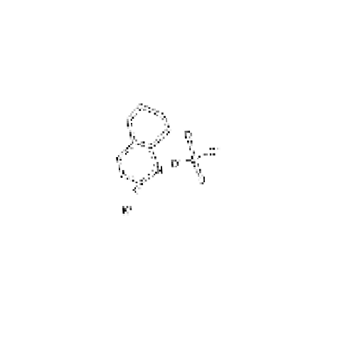 O=S(=O)([O-])[O-].[K+].[K+].c1ccc2ncccc2c1